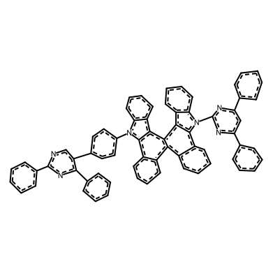 c1ccc(-c2cc(-c3ccccc3)nc(-n3c4ccccc4c4c5c(c6ccccc6c6c5c5ccccc5n6-c5ccc(-c6cnc(-c7ccccc7)nc6-c6ccccc6)cc5)c5ccccc5c43)n2)cc1